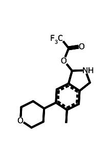 Cc1cc2c(cc1C1CCOCC1)C(OC(=O)C(F)(F)F)NC2